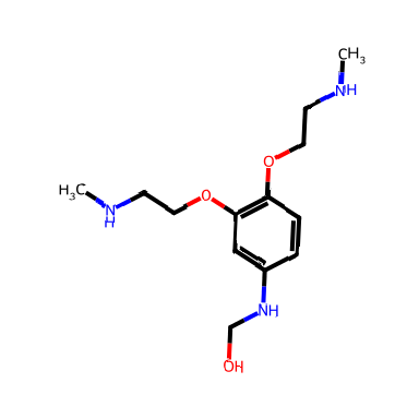 CNCCOc1ccc(NCO)cc1OCCNC